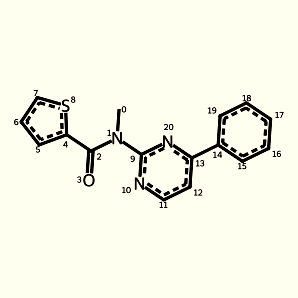 CN(C(=O)c1cccs1)c1nccc(-c2ccccc2)n1